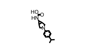 CC(C)c1ccc(N2CC3C(C2)C3NC(=O)O)cc1